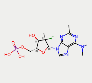 Cc1nc(N(C)C)c2ncn([C@@H]3O[C@H](COP(=O)(O)O)[C@@H](O)[C@@]3(C)F)c2n1